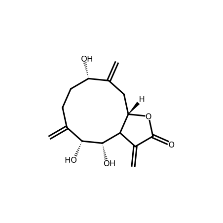 C=C1C(=O)O[C@H]2CC(=C)[C@@H](O)CCC(=C)[C@@H](O)[C@@H](O)C12